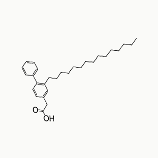 CCCCCCCCCCCCCCCc1cc(CC(=O)O)ccc1-c1ccccc1